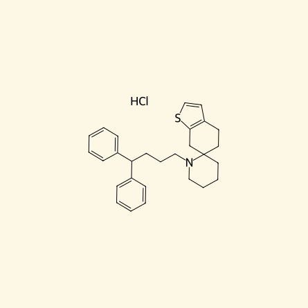 Cl.c1ccc(C(CCCN2CCCCC23CCc2ccsc2C3)c2ccccc2)cc1